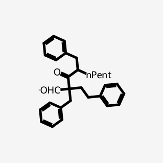 CCCCCC(Cc1ccccc1)C(=O)C([C]=O)(CCc1ccccc1)Cc1ccccc1